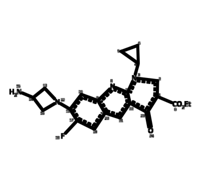 CCOC(=O)c1cn(C2CC2)c2nc3cc(N4CC(N)C4)c(F)cc3cc2c1=O